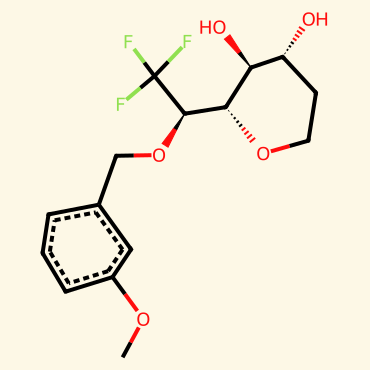 COc1cccc(CO[C@H]([C@H]2OCC[C@@H](O)[C@@H]2O)C(F)(F)F)c1